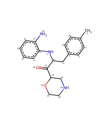 Cc1ccc(CC(Nc2ccccc2N)C(=O)C2CNCCO2)cc1